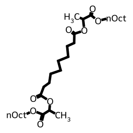 CCCCCCCCOC(=O)C(C)OC(=O)CCCCCCCCC(=O)OC(C)C(=O)OCCCCCCCC